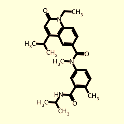 CCn1c(=O)cc(C(C)C)c2cc(C(=O)N(C)c3ccc(C)c(C(=O)NC(C)C)c3)ccc21